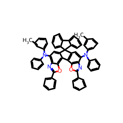 Cc1cccc(N(c2ccccc2)c2cc3c(c4oc(-c5ccccc5)nc24)-c2c(cc(N(c4ccccc4)c4cccc(C)c4)c4nc(-c5ccccc5)oc24)C32c3ccccc3-c3ccccc32)c1